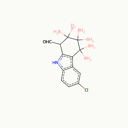 BC1(B)c2c([nH]c3ccc(Cl)cc23)C(C=O)C(B)(B)C1(B)B